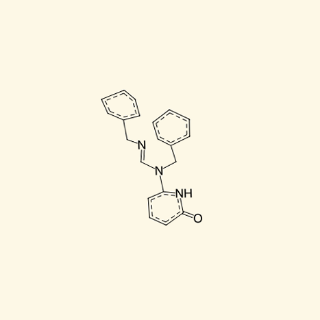 O=c1cccc(N(C=NCc2ccccc2)Cc2ccccc2)[nH]1